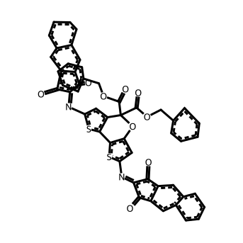 O=C(OCc1ccccc1)C1(C(=O)OCc2ccccc2)Oc2cc(N=c3c(=O)c4cc5ccccc5cc4c3=O)sc2-c2sc(N=c3c(=O)c4cc5ccccc5cc4c3=O)cc21